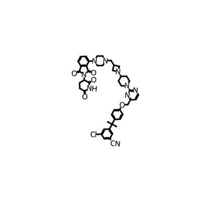 CC(C)(c1ccc(OCc2ccnc(N3CCC(N4CC(CN5CCN(c6cccc7c6C(=O)N(C6CCC(=O)NC6=O)C7=O)CC5)C4)CC3)n2)cc1)c1cc(Cl)cc(C#N)c1